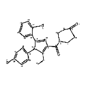 CCc1c(C(=O)N2CCC(=O)CC2)nc(-c2ccccc2Cl)n1-c1ccc(Cl)cc1